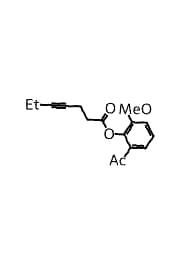 CCC#CCCC(=O)Oc1c(OC)cccc1C(C)=O